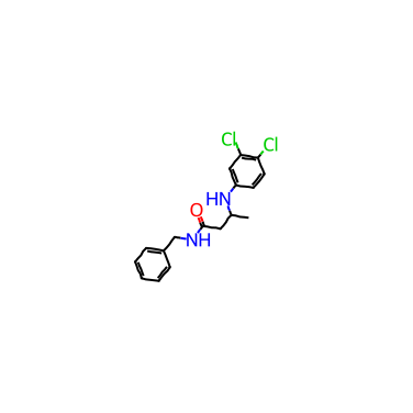 CC(CC(=O)NCc1ccccc1)Nc1ccc(Cl)c(Cl)c1